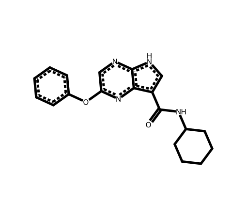 O=C(NC1CCCCC1)c1c[nH]c2ncc(Oc3ccccc3)nc12